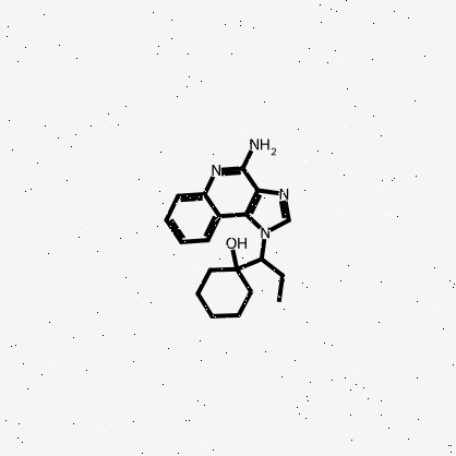 CCC(n1cnc2c(N)nc3ccccc3c21)C1(O)CCCCC1